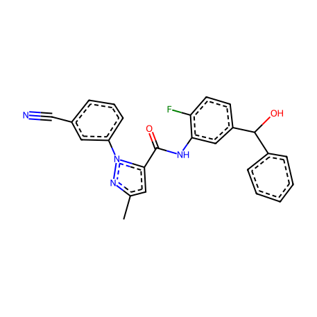 Cc1cc(C(=O)Nc2cc(C(O)c3ccccc3)ccc2F)n(-c2cccc(C#N)c2)n1